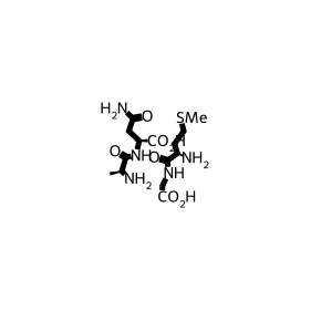 CSCC[C@H](N)C(=O)NCC(=O)O.C[C@H](N)C(=O)N[C@@H](CC(N)=O)C(=O)O